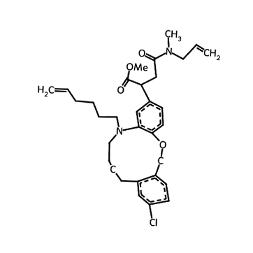 C=CCCCCN1CCCCc2cc(Cl)ccc2COc2ccc(C(CC(=O)N(C)CC=C)C(=O)OC)cc21